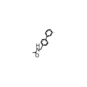 CC(=O)NCc1ccc(-c2c[c]ccc2)cc1